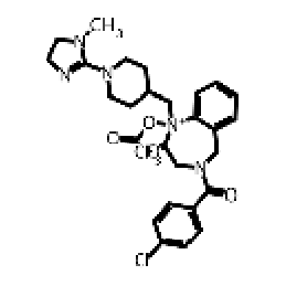 CN1CCN=C1N1CCC(C[N+]2(OC(=O)C(F)(F)F)C(=O)CN(C(=O)c3ccc(Cl)cc3)Cc3ccccc32)CC1